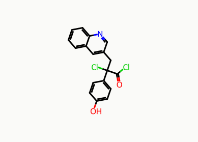 O=C(Cl)C(Cl)(Cc1cnc2ccccc2c1)c1ccc(O)cc1